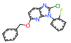 Fc1ccccc1-n1c(Cl)nc2ccc(OCc3ccccc3)nc21